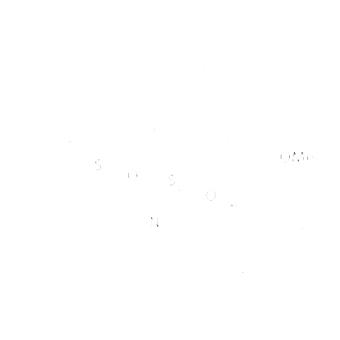 COc1cccc(CN(Cc2cccs2)S(=O)(=O)c2ccccc2)c1